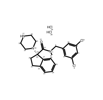 CN(Cc1cc(Cl)cc(Cl)c1)C(=O)[C@]1(N2CCNCC2)CCc2ccccc21.Cl.Cl